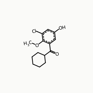 COc1c(Cl)cc(O)cc1C(=O)C1CCCCC1